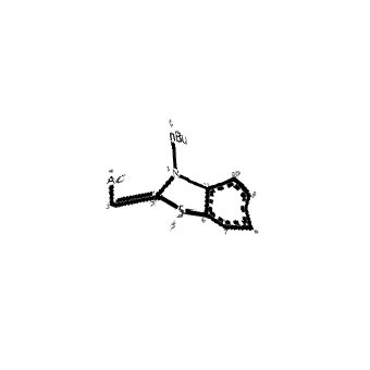 CCCCN1C(=CC(C)=O)Sc2ccccc21